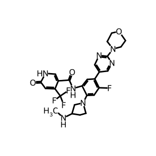 CNC1CCN(c2cc(F)c(-c3cnc(N4CCOCC4)nc3)cc2NC(=O)c2c[nH]c(=O)cc2C(F)(F)F)C1